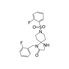 O=C1CNC2(CCN(S(=O)(=O)c3ccccc3F)CC2)N1Cc1ccccc1F